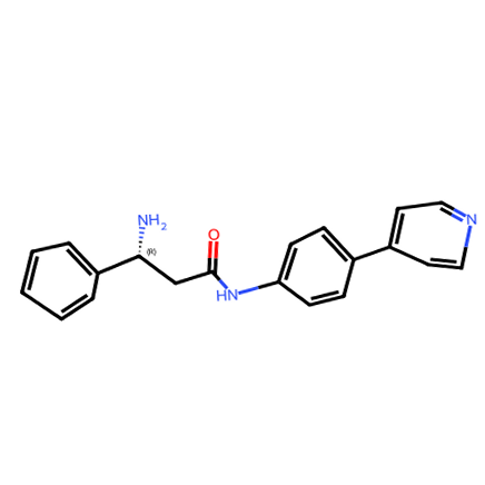 N[C@H](CC(=O)Nc1ccc(-c2ccncc2)cc1)c1ccccc1